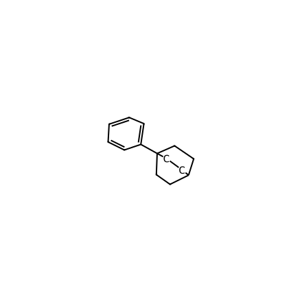 c1ccc(C23CCC(CC2)CC3)cc1